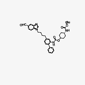 CC(C)(C)OC(=O)N[C@H]1CC[C@H](OC(=O)Nc2cc(CCCCn3cnc4cc(C=O)ccc43)ccc2-c2ccccc2)CC1